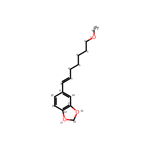 CC(C)OCCCCCC=Cc1ccc2c(c1)OCO2